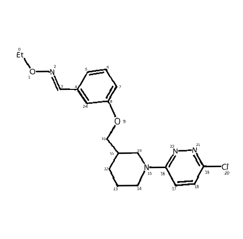 CCON=Cc1cccc(OCC2CCCN(c3ccc(Cl)nn3)C2)c1